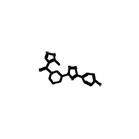 Cc1oncc1C(=O)N1CCCC(n2nnc(-c3ccc(F)cc3)n2)C1